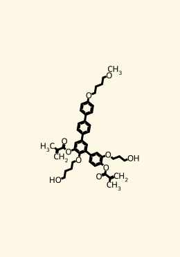 C=C(C)C(=O)Oc1ccc(-c2cc(-c3ccc(-c4ccc(OCCCCOC)cc4)cc3)cc(OC(=O)C(=C)C)c2OCCCCO)cc1OCCCO